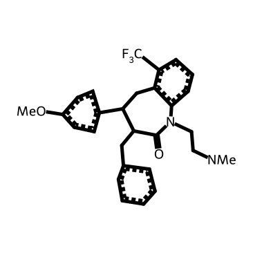 CNCCN1C(=O)C(Cc2ccccc2)C(c2ccc(OC)cc2)Cc2c1cccc2C(F)(F)F